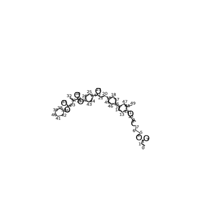 C=CC(=O)OCCCCCCOc1ccc(-c2ccc(/C=C/C(=O)c3ccc(OC(=O)C(=C)CC(=O)OC4CCCCC4)cc3)cc2)cc1C